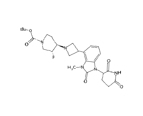 Cn1c(=O)n(C2CCC(=O)NC2=O)c2cccc(C3CN([C@@H]4CCN(C(=O)OC(C)(C)C)C[C@H]4F)C3)c21